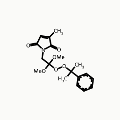 COC(CN1C(=O)C=C(C)C1=O)(OC)OOC(C)(C)c1ccccc1